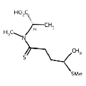 CSC(C)CCC(=S)N(C)[C@@H](C)C(=O)O